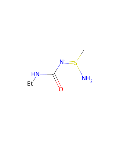 CCNC(=O)/N=S(/C)N